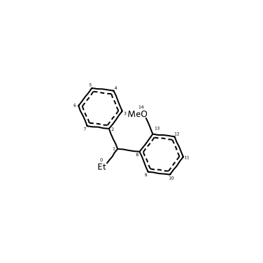 CCC(c1ccccc1)c1ccccc1OC